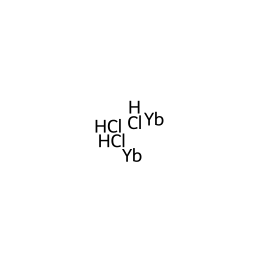 Cl.Cl.Cl.[Yb].[Yb]